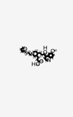 COc1ccc2nccc([C@@H](O)CCC3CCN(CCSc4ccco4)CC3CCC(=O)O)c2c1